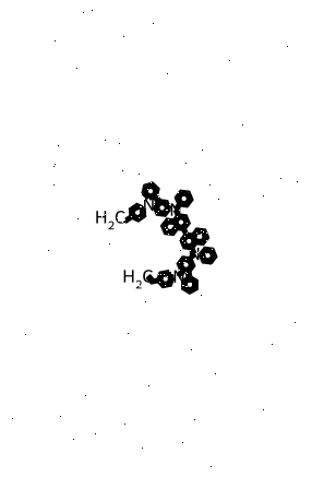 C=Cc1ccc(-n2c3ccccc3c3cc(N(c4ccccc4)c4ccc(-c5ccc(N(c6ccccc6)c6ccc7c(c6)c6ccccc6n7-c6ccc(C=C)cc6)c6ccccc56)c5ccccc45)ccc32)cc1